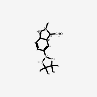 CN1NC2C=CC(B3OC(C)(C)C(C)(C)O3)=CC2C1C=O